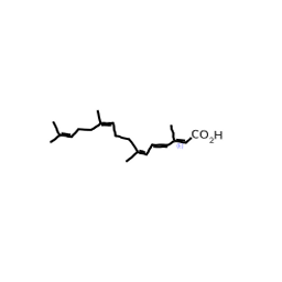 CC(C)=CCCC(C)=CCCC(C)=CC=C/C(C)=C/C(=O)O